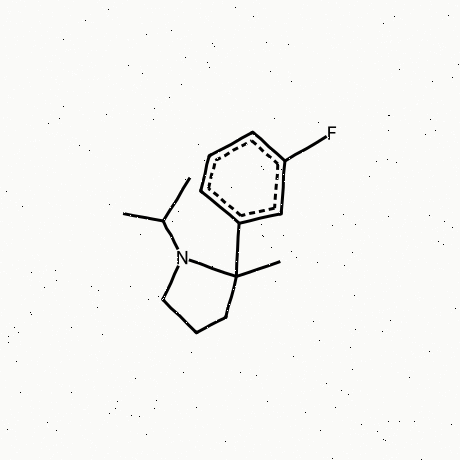 CC(C)N1CCCC1(C)c1cccc(F)c1